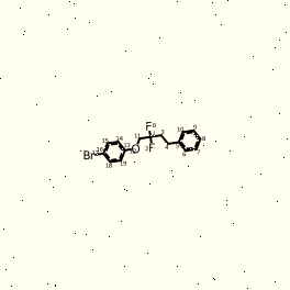 FC(F)(CCc1ccccc1)COc1ccc(Br)cc1